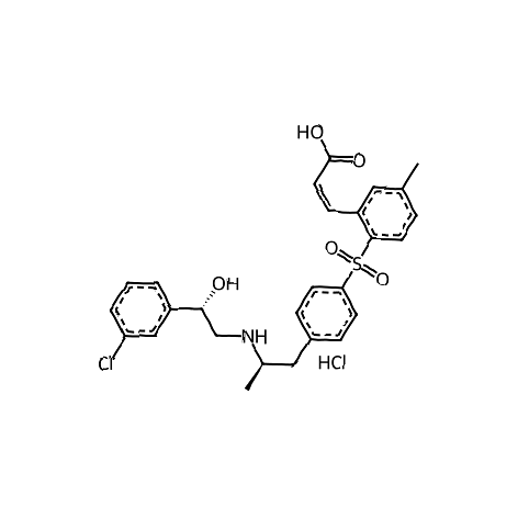 Cc1ccc(S(=O)(=O)c2ccc(C[C@@H](C)NC[C@@H](O)c3cccc(Cl)c3)cc2)c(/C=C\C(=O)O)c1.Cl